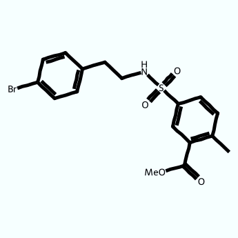 COC(=O)c1cc(S(=O)(=O)NCCc2ccc(Br)cc2)ccc1C